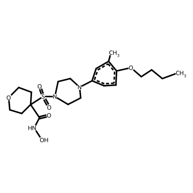 CCCCOc1ccc(N2CCN(S(=O)(=O)C3(C(=O)NO)CCOCC3)CC2)cc1C